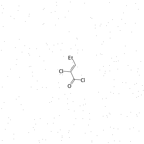 CC/C=C(\Cl)C(=O)Cl